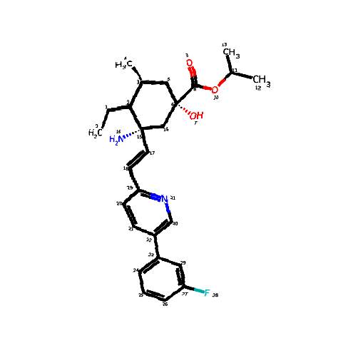 CCC1[C@@H](C)C[C@@](O)(C(=O)OC(C)C)C[C@@]1(N)/C=C/c1ccc(-c2cccc(F)c2)cn1